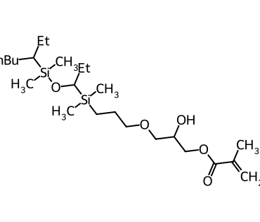 C=C(C)C(=O)OCC(O)COCCC[Si](C)(C)C(CC)O[Si](C)(C)C(CC)CCCC